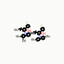 CC(C)(C)CC(C)(C)c1cc(-c2cccc(F)c2)c(O)c(-n2c3cc(C(C)(C)C)ccc3c3ccc(C(C)(C)C)cc32)c1.CC(C)(C)CC(C)(C)c1cc(-c2cccc(F)c2)c(O)c(-n2c3cc(C(C)(C)C)ccc3c3ccc(C(C)(C)C)cc32)c1.[CH3][Hf][CH3]